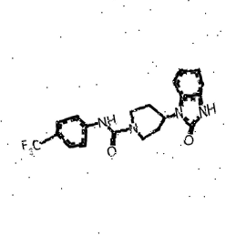 O=C(Nc1ccc(C(F)(F)F)cc1)N1CCC(n2c(=O)[nH]c3ccccc32)CC1